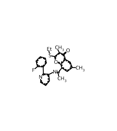 CCSc1oc2c(C(C)Nc3cccnc3-c3ccccc3F)cc(C)cc2c(=O)c1C